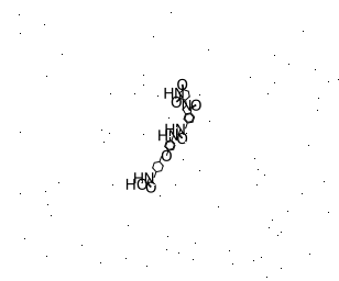 O=C(O)NCC1CCC(COc2ccc(NC(=O)NCc3ccc4c(c3)CN(C3CCC(=O)NC3=O)C4=O)cc2)CC1